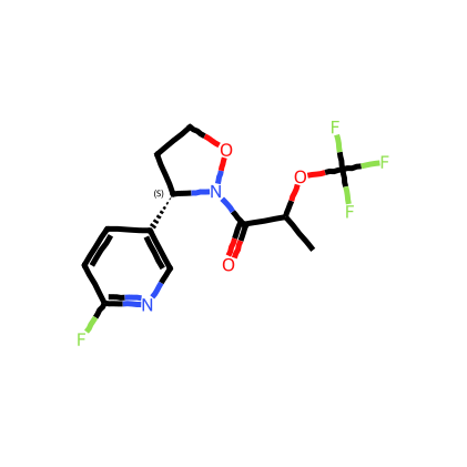 CC(OC(F)(F)F)C(=O)N1OCC[C@H]1c1ccc(F)nc1